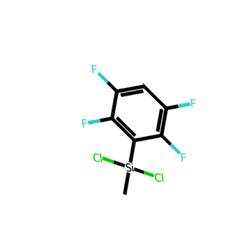 C[Si](Cl)(Cl)c1c(F)c(F)[c]c(F)c1F